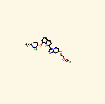 COCCOc1ccn2c(-c3ccc4cccc(OC5CCN(C)C[C@@H]5F)c4n3)cnc2c1